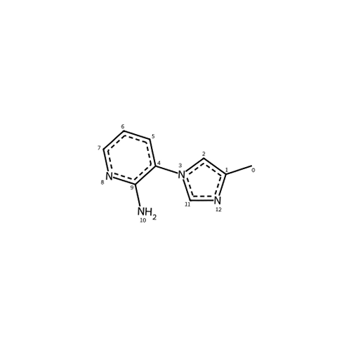 Cc1cn(-c2cccnc2N)cn1